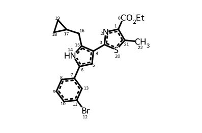 CCOC(=O)c1nc(-c2cc(-c3cccc(Br)c3)[nH]c2CC2CC2)sc1C